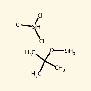 CC(C)(C)O[SiH3].Cl[SiH](Cl)Cl